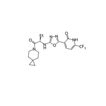 CC[C@@H](Nc1nnc(-c2ccc(C(F)(F)F)[nH]c2=O)o1)C(=O)N1CCC2(CC1)CC2